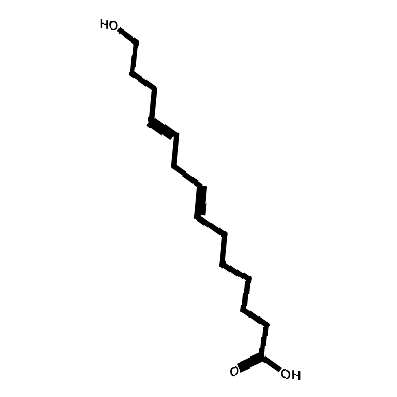 O=C(O)CCCCC/C=C/C/C=C/CCCO